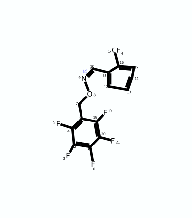 Fc1c(F)c(F)c(CO/N=[C]\c2ccccc2C(F)(F)F)c(F)c1F